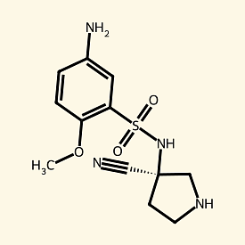 COc1ccc(N)cc1S(=O)(=O)N[C@]1(C#N)CCNC1